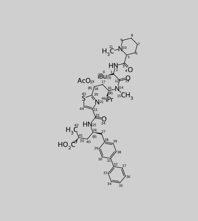 CC[C@H](C)C(NC(=O)C1CCCCN1C)C(=O)N(C)[C@H](C[C@@H](OC(C)=O)c1nc(C(=O)N[C@@H](Cc2ccc(-c3ccccc3)cc2)C[C@H](C)C(=O)O)cs1)C(C)C